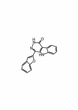 O=c1[nH]nc(-c2cc3ccccc3o2)c2[nH]c3ccccc3c12